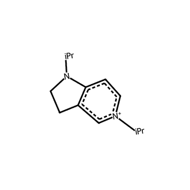 CC(C)N1CCc2c[n+](C(C)C)ccc21